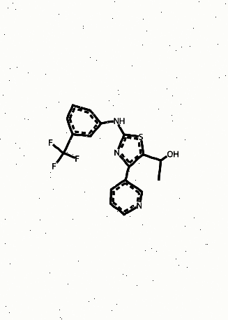 CC(O)c1sc(Nc2cccc(C(F)(F)F)c2)nc1-c1cccnc1